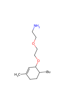 CCC(C)C1CCC(C)=CC1OCCOCCN